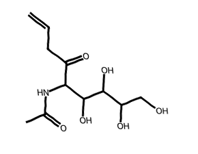 C=CCC(=O)C(NC(C)=O)C(O)C(O)C(O)CO